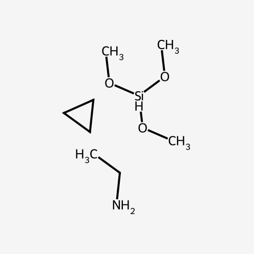 C1CC1.CCN.CO[SiH](OC)OC